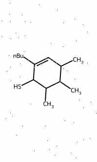 CCCCC1=CC(C)C(C)C(C)C1S